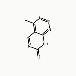 Cc1nnnc2[nH]c(=O)ncc12